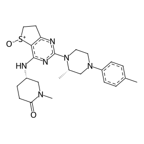 Cc1ccc(N2CCN(c3nc4c(c(N[C@H]5CCC(=O)N(C)C5)n3)[S+]([O-])CC4)[C@@H](C)C2)cc1